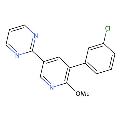 COc1ncc(-c2ncccn2)cc1-c1cccc(Cl)c1